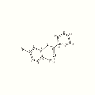 O=C(Cc1cc(F)ccc1F)c1[c]cccc1